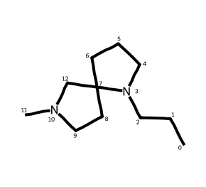 CCCN1CCCC12CCN(C)C2